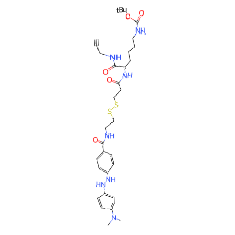 C#CCNC(=O)C(CCCCNC(=O)OC(C)(C)C)NC(=O)CCSSCCNC(=O)c1ccc(NNc2ccc(N(C)C)cc2)cc1